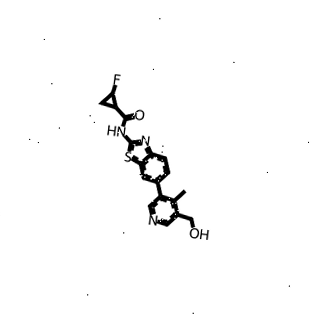 Cc1c(CO)cncc1-c1ccc2nc(NC(=O)C3CC3F)sc2c1